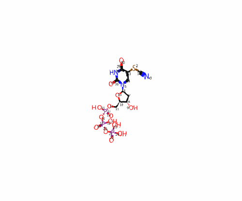 N#CSc1cn([C@H]2C[C@H](O)[C@@H](COP(=O)(O)OP(=O)(O)OP(=O)(O)O)O2)c(=O)[nH]c1=O